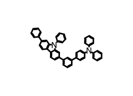 c1ccc(-c2ccc3c4ccc(-c5cccc(-c6ccc(N(c7ccccc7)c7ccccc7)cc6)c5)cc4n(-c4ccccc4)c3c2)cc1